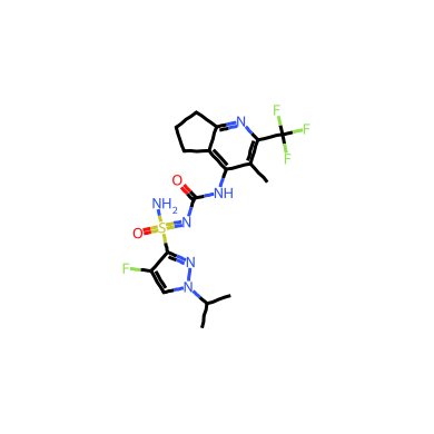 Cc1c(C(F)(F)F)nc2c(c1NC(=O)N=S(N)(=O)c1nn(C(C)C)cc1F)CCC2